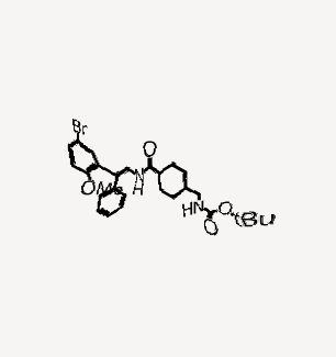 COc1ccc(Br)cc1C(CNC(=O)C1CCC(CNC(=O)OC(C)(C)C)CC1)c1ccccc1